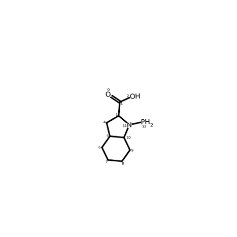 O=C(O)C1CC2CCCCC2N1P